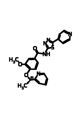 COc1cc(C(=O)Nc2nnc(-c3ccncc3)s2)ccc1O[C@H](C)c1ccccn1